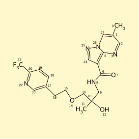 Cc1cnc2c(C(=O)NCC(C)(O)COCCc3ccc(C(F)(F)F)nc3)cnn2c1